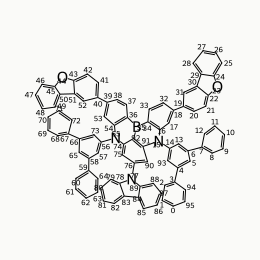 c1ccc(-c2cc(-c3ccccc3)cc(N3c4cc(-c5ccc6oc7ccccc7c6c5)ccc4B4c5ccc(-c6ccc7oc8ccccc8c7c6)cc5N(c5cc(-c6ccccc6)cc(-c6ccccc6)c5)c5cc(-n6c7ccccc7c7ccccc76)cc3c54)c2)cc1